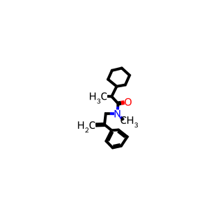 C=C(CN(C)C(=O)C(C)C1CCCCC1)c1ccccc1